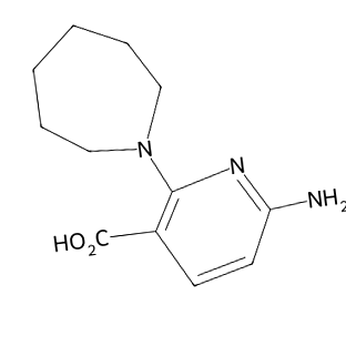 Nc1ccc(C(=O)O)c(N2CCCCCC2)n1